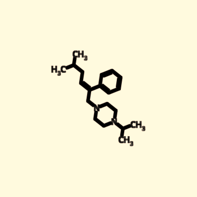 CC(C)C/C=C(/CN1CCN(C(C)C)CC1)c1ccccc1